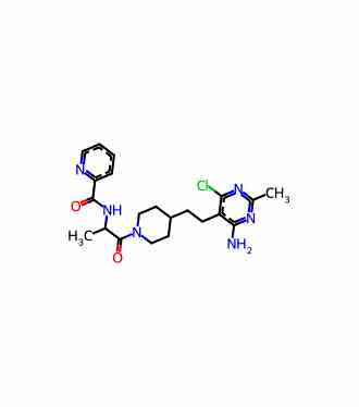 Cc1nc(N)c(CCC2CCN(C(=O)C(C)NC(=O)c3ccccn3)CC2)c(Cl)n1